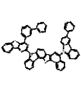 c1ccc(-c2cccc(-c3nc(-n4c5ccccc5c5c6oc7c8ccccc8c(-n8c9ccccc9c9cc(-c%10ccccc%10)ccc98)cc7c6ccc54)nc4c3sc3ccccc34)c2)cc1